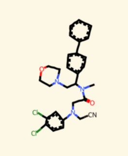 CN(C(=O)CN(CC#N)c1ccc(Cl)c(Cl)c1)C(CN1CCOCC1)c1ccc(-c2ccccc2)cc1